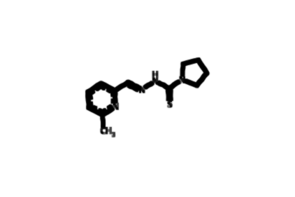 Cc1cccc(C=NNC(=S)N2CCCC2)n1